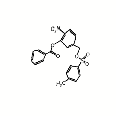 Cc1ccc(S(=O)(=O)OCc2ccc([N+](=O)[O-])c(OC(=O)c3ccccc3)c2)cc1